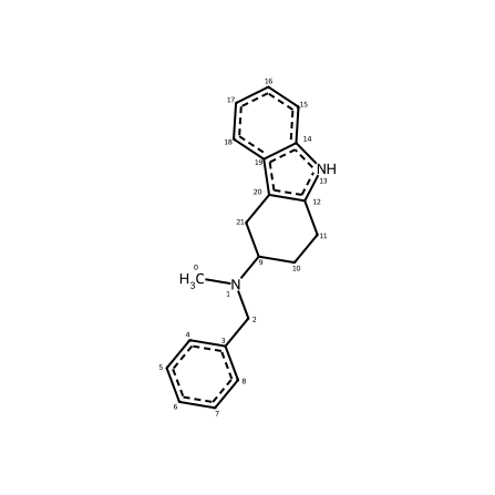 CN(Cc1ccccc1)C1CCc2[nH]c3ccccc3c2C1